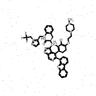 CC1=C(c2c(-c3cccc4c3sc3ccccc34)ncc3snc(O[C@H](Cc4ccccc4OCc4ccnn4CC(F)(F)F)C(=O)O)c23)CCC(OCCN2CCN(C)CC2)=C1Cl